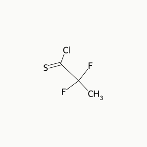 CC(F)(F)C(=S)Cl